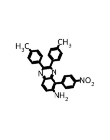 Cc1ccc(-c2nc3ccc(N)c(-c4ccc([N+](=O)[O-])cc4)c3nc2-c2ccc(C)cc2)cc1